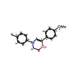 COc1ccc(C2=CN(c3ccc(C)cc3)CCO2)cc1